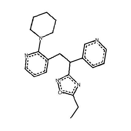 CCc1nc(C(Cc2cccnc2N2CCCCC2)c2cccnc2)no1